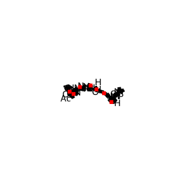 CC(=O)c1c(C)c2cnc(Nc3ccc(N4CCN(CC(=O)NCCCCCNc5ccccc5C(=O)Nc5nc(C)c(C)s5)CC4)cn3)nc2n(C2CCCC2)c1=O